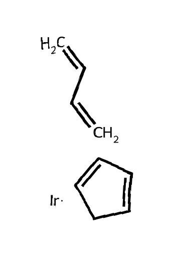 C1=CCC=C1.C=CC=C.[Ir]